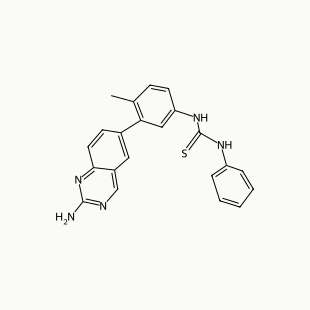 Cc1ccc(NC(=S)Nc2ccccc2)cc1-c1ccc2nc(N)ncc2c1